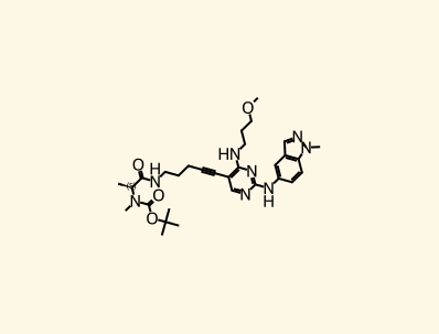 COCCCNc1nc(Nc2ccc3c(cnn3C)c2)ncc1C#CCCCNC(=O)[C@H](C)N(C)C(=O)OC(C)(C)C